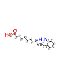 Nc1ccccc1CCCCCCCCCCCC(=O)O